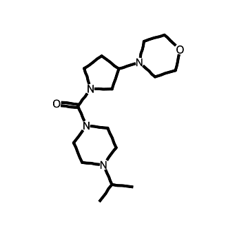 CC(C)N1CCN(C(=O)N2CCC(N3CCOCC3)C2)CC1